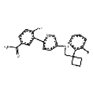 NC(=O)c1ccc(O)c(-c2ccc(NCC3(c4ncccc4F)CCC3)nn2)c1